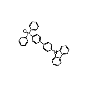 O=P(c1ccccc1)(c1ccccc1)c1ccc(-c2ccc(-n3c4ccccc4c4ccccc43)cc2)cc1